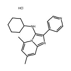 Cc1cc(C)n2c(NC3CCCCC3)c(-c3ccncc3)nc2c1.Cl